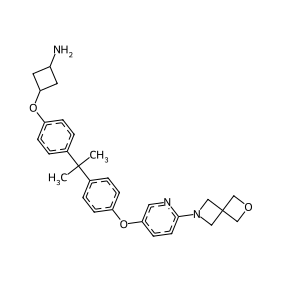 CC(C)(c1ccc(Oc2ccc(N3CC4(COC4)C3)nc2)cc1)c1ccc(OC2CC(N)C2)cc1